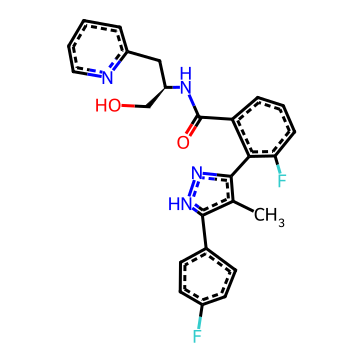 Cc1c(-c2c(F)cccc2C(=O)N[C@@H](CO)Cc2ccccn2)n[nH]c1-c1ccc(F)cc1